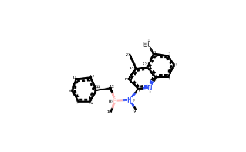 CCc1cccc2nc(N(C)B(C)Cc3ccccc3)cc(C)c12